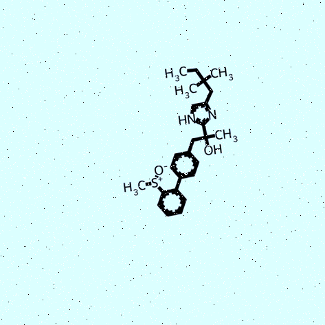 CCC(C)(C)Cc1c[nH]c(C(C)(O)Cc2ccc(-c3ccccc3[S+](C)[O-])cc2)n1